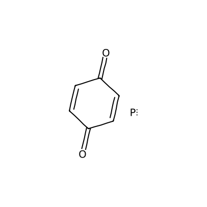 O=C1C=CC(=O)C=C1.[P]